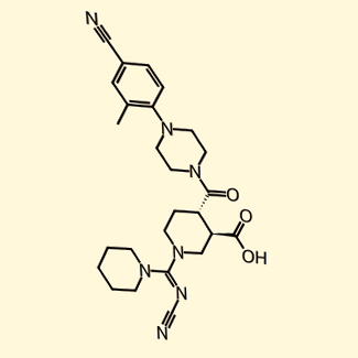 Cc1cc(C#N)ccc1N1CCN(C(=O)[C@H]2CCN(/C(=N/C#N)N3CCCCC3)C[C@@H]2C(=O)O)CC1